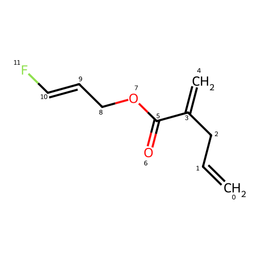 C=CCC(=C)C(=O)OCC=CF